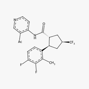 CC(=O)c1cnccc1NC(=O)[C@@H]1C[C@@H](C(F)(F)F)C[C@H]1c1ccc(F)c(F)c1C